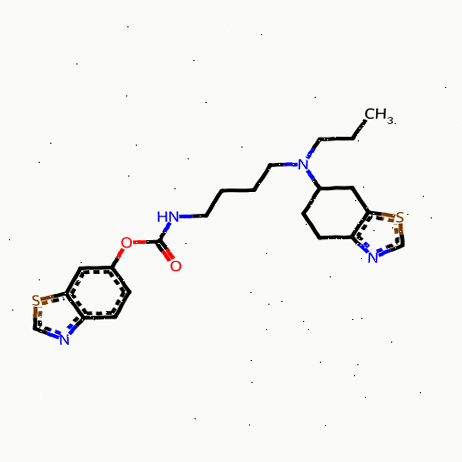 CCCN(CCCCNC(=O)Oc1ccc2ncsc2c1)C1CCc2ncsc2C1